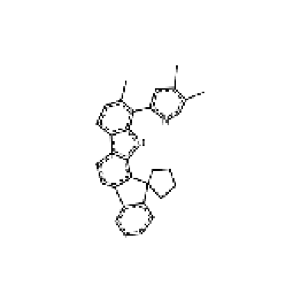 Cc1cnc(-c2c(C)ccc3c2oc2c4c(ccc23)-c2ccccc2C42CCCC2)cc1C